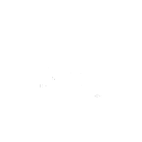 C[n+]1cc(CCCC(C)(C)C)c2ccccc2c1